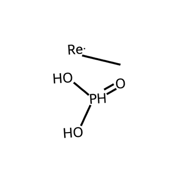 CC.O=[PH](O)O.[Re]